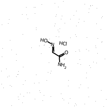 Cl.NC(=O)C=NO